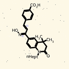 CCCCCCCN1C(=O)CC(C)(C)c2cc(C(/C=C/c3ccc(C(=O)O)cc3)=N/O)ccc21